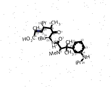 CNC(C(=O)N[C@H](C(=O)C(C)[C@H](/C=C(\C)C(=O)O)C(C)C)C(C)(C)C)C(C)(C)c1cccc(NC(C)C)c1